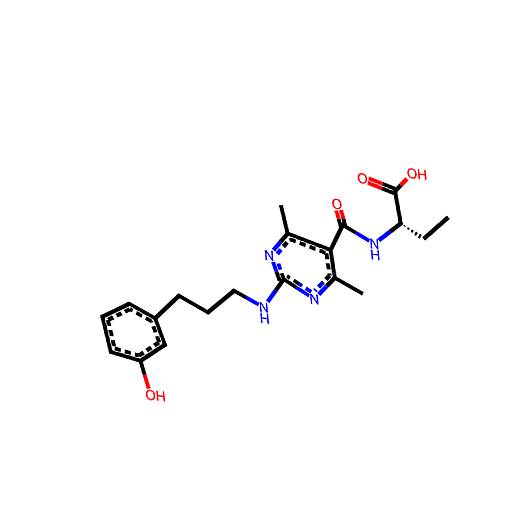 CC[C@H](NC(=O)c1c(C)nc(NCCCc2cccc(O)c2)nc1C)C(=O)O